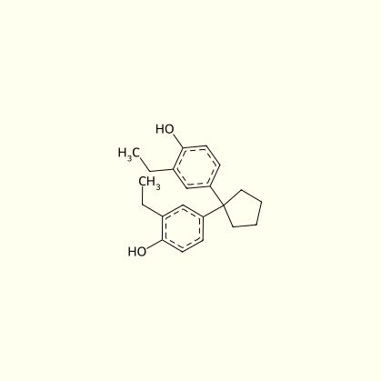 CCc1cc(C2(c3ccc(O)c(CC)c3)CCCC2)ccc1O